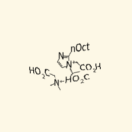 CCCCCCCCC1=NC=C[N+]1(CC(=O)O)C(C)C(=O)O.C[N+](C)(C)CC(=O)O